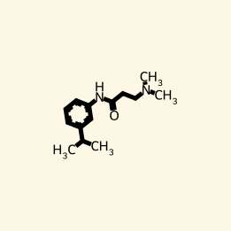 CC(C)c1cccc(NC(=O)CCN(C)C)c1